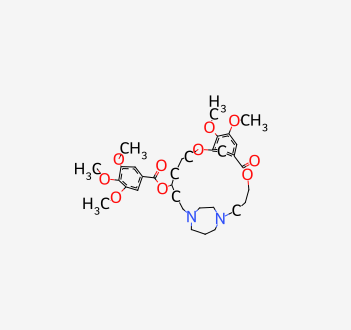 COc1cc(C(=O)OC2CCCOc3cc(cc(OC)c3OC)C(=O)OCCCN3CCCN(CC2)CC3)cc(OC)c1OC